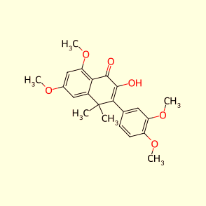 COc1cc(OC)c2c(c1)C(C)(C)C(c1ccc(OC)c(OC)c1)=C(O)C2=O